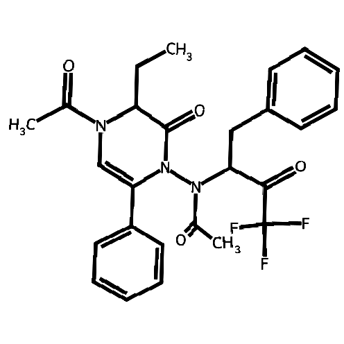 CCC1C(=O)N(N(C(C)=O)C(Cc2ccccc2)C(=O)C(F)(F)F)C(c2ccccc2)=CN1C(C)=O